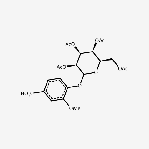 COc1cc(C(=O)O)ccc1OC1O[C@H](COC(C)=O)[C@H](OC(C)=O)[C@H](OC(C)=O)[C@@H]1OC(C)=O